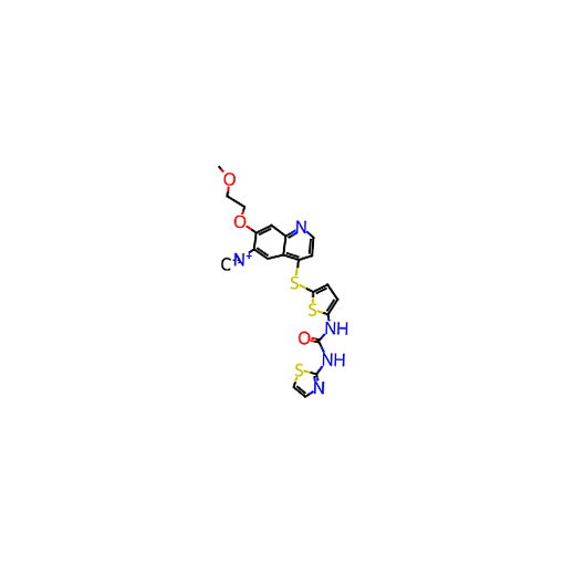 [C-]#[N+]c1cc2c(Sc3ccc(NC(=O)Nc4nccs4)s3)ccnc2cc1OCCOC